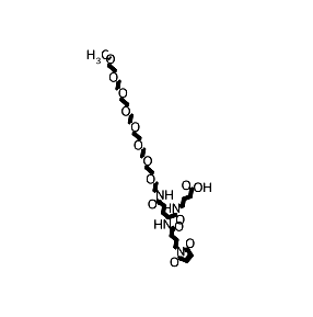 COCCOCCOCCOCCOCCOCCOCCOCCNC(=O)CCC(NC(=O)CCCN1C(=O)C=CC1=O)C(=O)NCCCC(=O)O